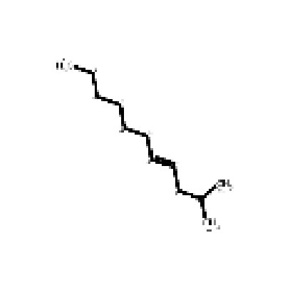 CCCCCCC=CCC(C)C